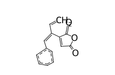 C=CC(=Cc1ccccc1)C1=CC(=O)OC1=O